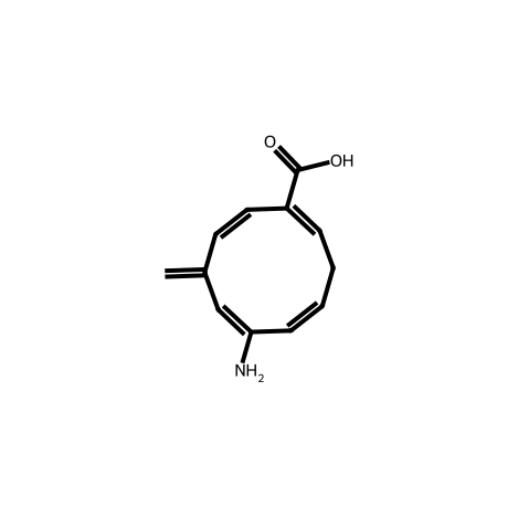 C=C1/C=C\C(C(=O)O)=C/C/C=C\C(N)=C/1